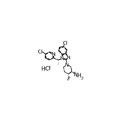 C[C@H](c1ccc(Cl)cn1)n1c(N2CC[C@@H](F)[C@H](N)C2)nc2cc(Cl)ccc21.Cl